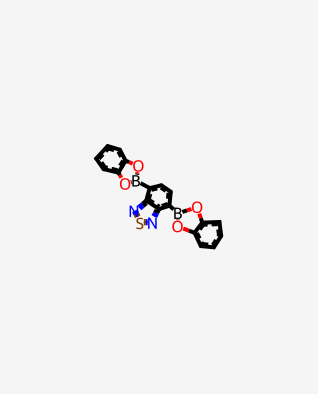 c1ccc2c(c1)OB(c1ccc(B3Oc4ccccc4O3)c3nsnc13)O2